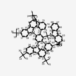 CC(C)(C)c1ccc2c(c1)c1cc(C(C)(C)C)ccc1n2-c1cc(-n2c3ccc(C(C)(C)C)cc3c3cc(C(C)(C)C)ccc32)c(-c2cccc(C#N)c2)c(C(C)(C)n2c3ccccc3c3ccccc32)c1-c1cccc(C#N)c1